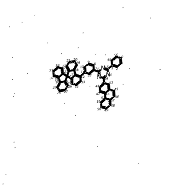 c1ccc(-c2nc(-c3cccc(-c4cccc5c4-c4ccccc4C54c5ccccc5-c5ccccc54)c3)nc(-c3ccc4c(ccc5ccccc54)c3)n2)cc1